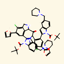 CC(C)(C)OC(=O)n1c(-c2cc(-c3ccco3)c(Cl)c3c2C(C(=O)C2NCc4c(Cl)c(-c5ccco5)cc(-c5cc6cc(CN7CCCCC7)ccc6n5C(=O)OC(C)(C)C)c42)NC3)cc2cc(CN3CCCCC3)ccc21